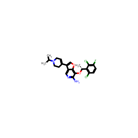 CC(C)N1CC=C(c2coc3c(O[C@H](C)c4c(Cl)ccc(F)c4Cl)c(N)ncc23)CC1